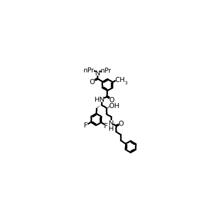 CCCN(CCC)C(=O)c1cc(C)cc(C(=O)N[C@@H](Cc2cc(F)cc(F)c2)[C@H](O)CCNC(=O)CCCc2ccccc2)c1